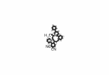 C=CC1CC2C(CCc3ccccc3-c3ccc(-c4ccccc4)c[n+]31)c1ccc(C#N)c(C#N)c1-c1cccc[n+]12